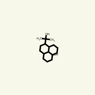 CC(C)(O)C1CCC2CCCC3(O)CCCC1C23